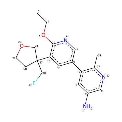 CCOc1ncc(-c2cc(N)cnc2C)cc1C1(CF)CCOC1